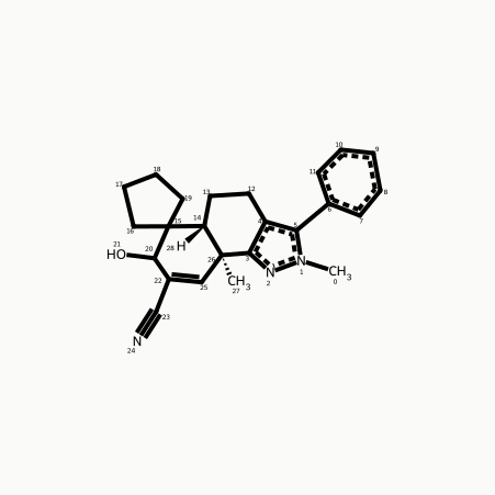 Cn1nc2c(c1-c1ccccc1)CC[C@H]1C3(CCCC3)C(O)C(C#N)=C[C@]21C